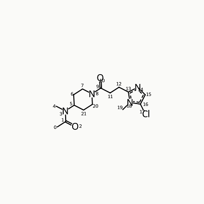 CC(=O)N(C)C1CCN(C(=O)CCc2ncc(Cl)n2C)CC1